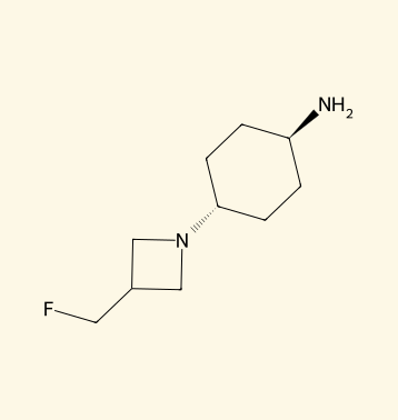 N[C@H]1CC[C@H](N2CC(CF)C2)CC1